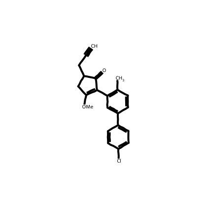 C#CCC1CC(OC)=C(c2cc(-c3ccc(Cl)cc3)ccc2C)C1=O